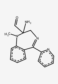 CN1c2ccccc2C(c2ccccn2)=NCC1(N)C=O